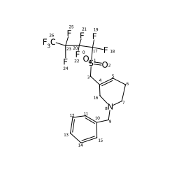 O=S(=O)(CC1=CCCN(Cc2ccccc2)C1)C(F)(F)C(F)(F)C(F)(F)C(F)(F)F